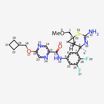 COC[C@]12C[C@H]1[C@](C)(c1cc(NC(=O)c3cnc(OCC4CCC4)cn3)cc(F)c1F)N=C(N)S2